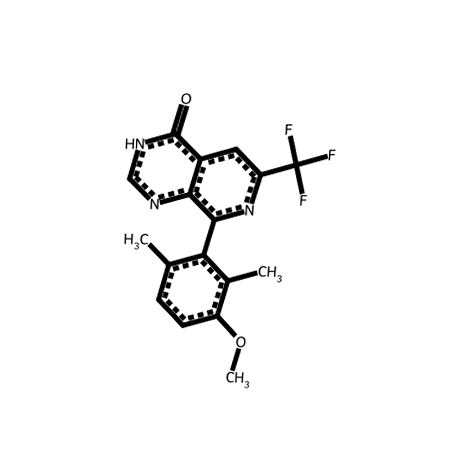 COc1ccc(C)c(-c2nc(C(F)(F)F)cc3c(=O)[nH]cnc23)c1C